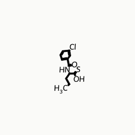 CCCC(NC(=O)c1cccc(Cl)c1)C(O)=S